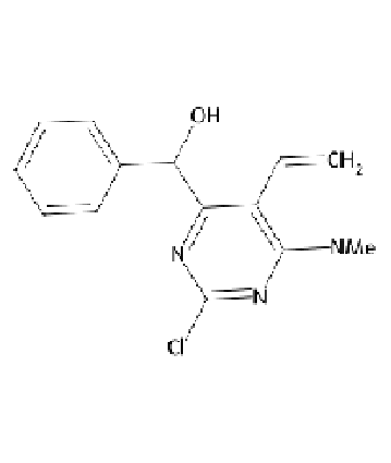 C=Cc1c(NC)nc(Cl)nc1C(O)c1ccccc1